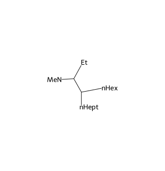 CCCCCCCC(CCCCCC)C(CC)NC